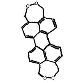 c1cc2c3ccc4c5c(ccc(c6ccc7c(c1COOC7)c26)c53)COOC4